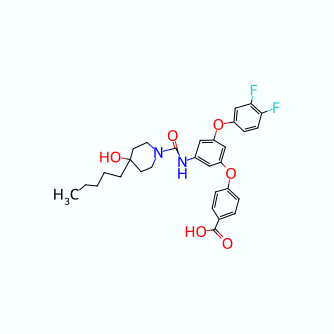 CCCCCC1(O)CCN(C(=O)Nc2cc(Oc3ccc(C(=O)O)cc3)cc(Oc3ccc(F)c(F)c3)c2)CC1